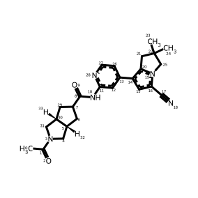 CC(=O)N1C[C@H]2CC(C(=O)Nc3cc(-c4cc(C#N)n5c4CC(C)(C)C5)ccn3)C[C@H]2C1